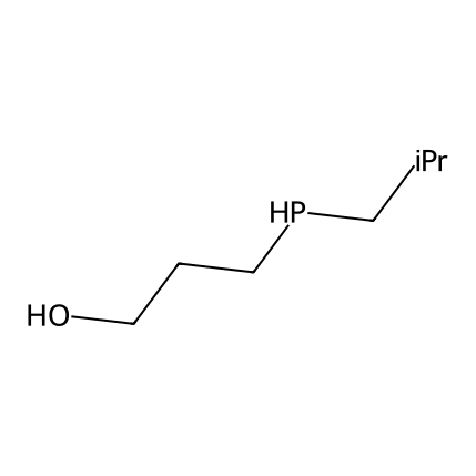 CC(C)CPCCCO